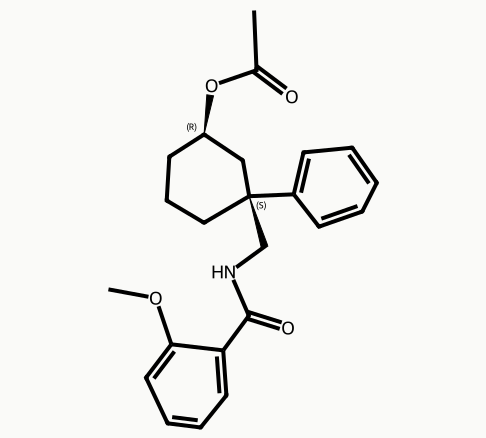 COc1ccccc1C(=O)NC[C@@]1(c2ccccc2)CCC[C@@H](OC(C)=O)C1